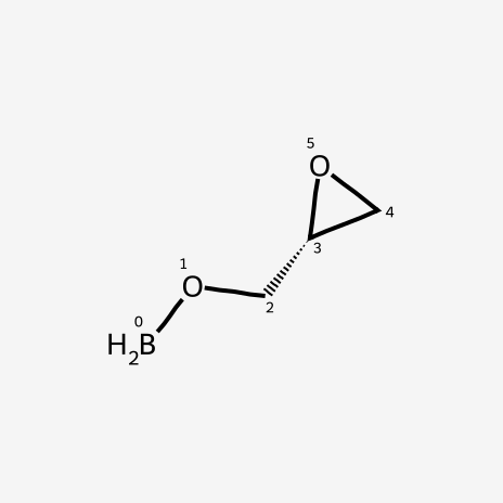 BOC[C@H]1CO1